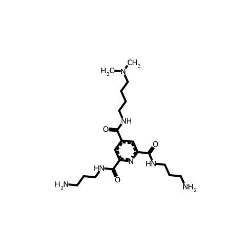 CN(C)CCCCNC(=O)c1cc(C(=O)NCCCN)nc(C(=O)NCCCN)c1